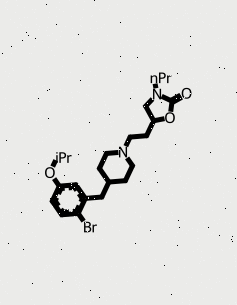 CCCN1CC(CCN2CCC(Cc3cc(OC(C)C)ccc3Br)CC2)OC1=O